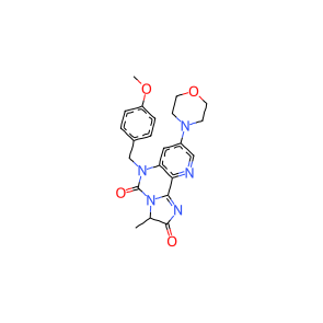 COc1ccc(CN2C(=O)N3C(=NC(=O)C3C)c3ncc(N4CCOCC4)cc32)cc1